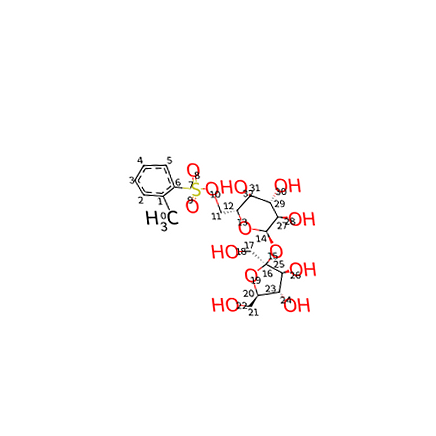 Cc1ccccc1S(=O)(=O)OC[C@H]1O[C@H](O[C@]2(CO)O[C@H](CO)[C@@H](O)[C@@H]2O)[C@H](O)[C@@H](O)[C@@H]1O